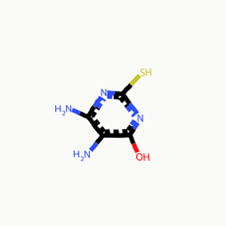 Nc1nc(S)nc(O)c1N